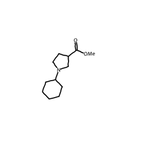 COC(=O)C1CCN(C2CCCCC2)C1